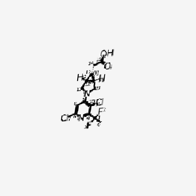 CC(F)(F)c1nc(Cl)cc(N2C[C@@H]3[C@H](CC(=O)O)[C@@H]3C2)c1Cl